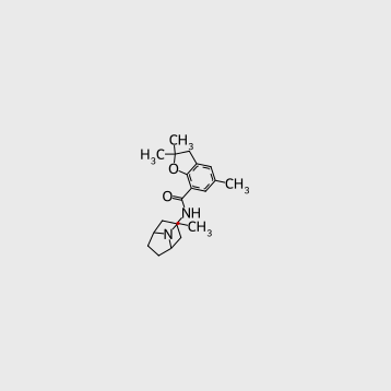 CCN1C2CCC1CC(NC(=O)c1cc(C)cc3c1OC(C)(C)C3)C2